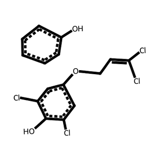 Oc1c(Cl)cc(OCC=C(Cl)Cl)cc1Cl.Oc1ccccc1